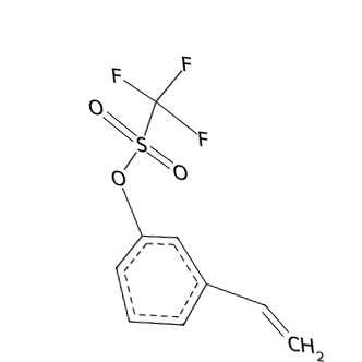 C=Cc1cccc(OS(=O)(=O)C(F)(F)F)c1